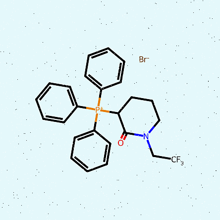 O=C1C([P+](c2ccccc2)(c2ccccc2)c2ccccc2)CCCN1CC(F)(F)F.[Br-]